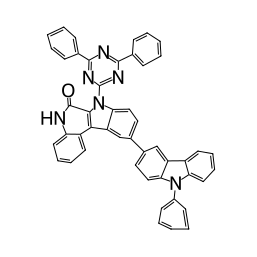 O=c1[nH]c2ccccc2c2c3cc(-c4ccc5c(c4)c4ccccc4n5-c4ccccc4)ccc3n(-c3nc(-c4ccccc4)nc(-c4ccccc4)n3)c12